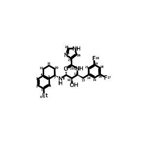 CCc1ccc2c(c1)[C@@H](NC[C@H](O)[C@H](Cc1cc(F)cc(F)c1)NC(=O)c1c[nH]cn1)CCC2